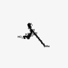 COCCOCCOCCOCCOCCOCCOCCOCCC(=O)NCCCC[C@H](NC(=O)CCN1CCc2nc(S(C)(=O)=O)ncc2C1=O)C(=O)NCC(=O)NCC(=O)N[C@@H](Cc1ccccc1)C(=O)NCC(=O)NCO[C@H](C(=O)O)C1CC1